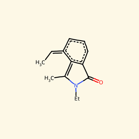 C/C=c1/cccc2c1=C(C)N(CC)C2=O